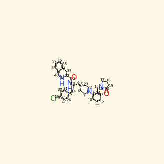 O=C(N[C@@H](C=C1CCN(c2ccccc2CN2CCCC2=O)CC1)Cc1ccc(Cl)cc1)[C@H]1Cc2ccccc2CN1